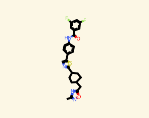 Cc1noc(CC2CCC(c3ncc(-c4ccc(NC(=O)c5cc(F)cc(F)c5)cc4)s3)CC2)n1